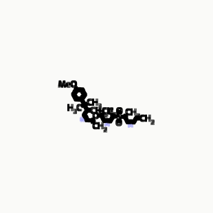 C=C/C=C\C(=C)S(=O)(=O)C(=C)/C=C\C(=C)OC(=C)/C=C\C(=C)C(C)(C)c1ccc(OC)cc1